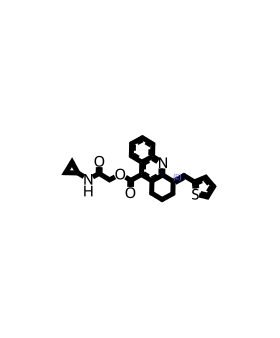 O=C(COC(=O)c1c2c(nc3ccccc13)/C(=C/c1cccs1)CCC2)NC1CC1